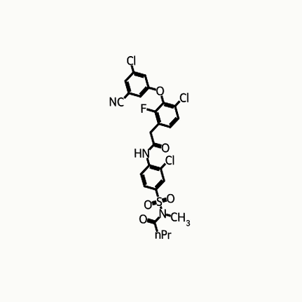 CCCC(=O)N(C)S(=O)(=O)c1ccc(NC(=O)Cc2ccc(Cl)c(Oc3cc(Cl)cc(C#N)c3)c2F)c(Cl)c1